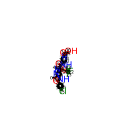 CCc1nc2c(cc1NC(=O)c1ccc(Cl)cc1)c(OCC(F)(F)F)c(C(=O)NC1CCN(C(=O)CO)CC1)n2C